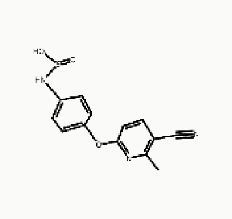 Cc1nc(Oc2ccc(NS(=O)O)cc2)ccc1C#N